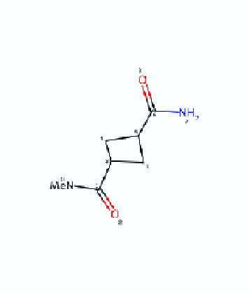 CNC(=O)C1CC(C(N)=O)C1